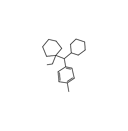 CCC1(C(c2ccc(C)cc2)C2CCCCC2)CCCCC1